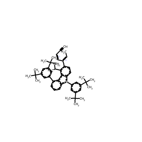 C#C/C=C\C(=C/C)c1ccc2c(c1C(C)C)c1c(-c3cc(C(C)(C)C)cc(C(C)(C)C)c3)cccc1n2-c1cc(C(C)(C)C)cc(C(C)(C)C)c1